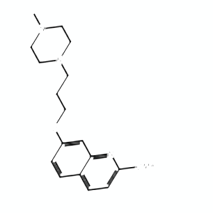 COc1ccc2ccc(OCCCN3CCN(C)CC3)cc2n1